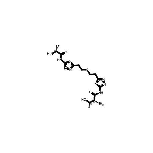 CC[C@H](N)C(=O)Nc1nnc(CCSCCc2nnc(NC(=O)[C@@H](N)[C@@H](C)O)s2)s1